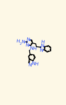 Nc1ncc(CCc2nc3ccccc3[nH]2)c(NCc2ccc3[nH]ncc3c2)n1